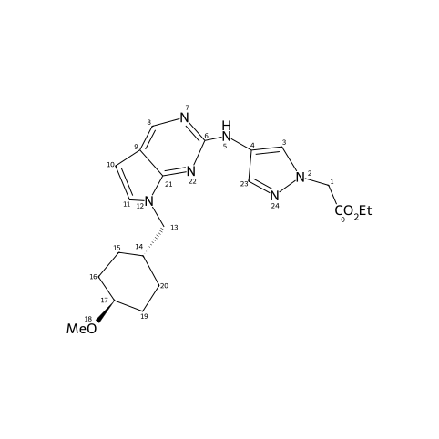 CCOC(=O)Cn1cc(Nc2ncc3ccn(C[C@H]4CC[C@H](OC)CC4)c3n2)cn1